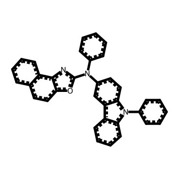 c1ccc(N(c2ccc3c(c2)c2ccccc2n3-c2ccccc2)c2nc3c(ccc4ccccc43)o2)cc1